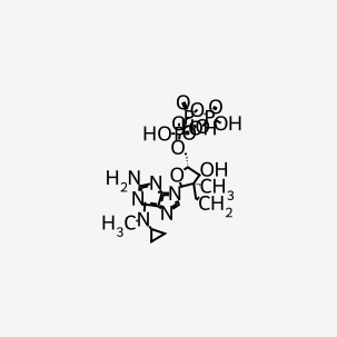 C=C[C@]1(C)[C@H](O)[C@@H](COP(=O)(O)OP(=O)(O)OP(=O)(O)O)O[C@H]1n1cnc2c(N(C)C3CC3)nc(N)nc21